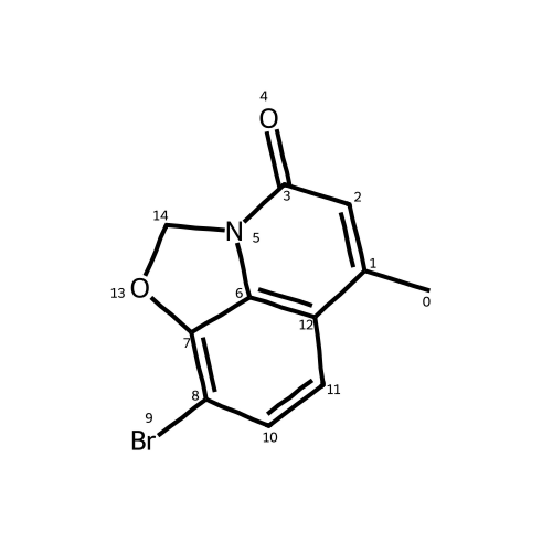 Cc1cc(=O)n2c3c(c(Br)ccc13)OC2